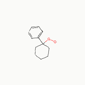 [O]OC1(c2ccccc2)CCCCC1